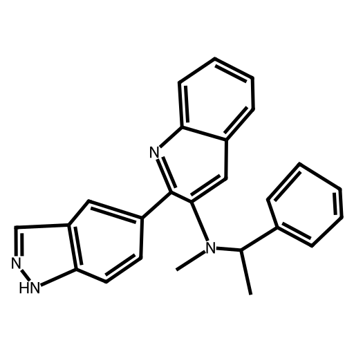 CC(c1ccccc1)N(C)c1cc2ccccc2nc1-c1ccc2[nH]ncc2c1